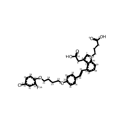 O=C(O)CCCn1cc(CC(=O)O)c2c(/C=C/c3ccc(OCCCCOc4ccc(Cl)cc4F)cc3)cccc21